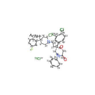 CC(=O)NC1(c2cccc(F)c2)CCN(CCC2(c3ccc(Cl)c(Cl)c3)CN(c3ccccc3)C(=O)CO2)CC1.Cl